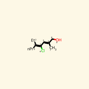 CCC/C(CC)=C(Cl)/C=C(\C)CO